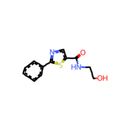 O=C(NCCO)c1cnc(-c2ccccc2)s1